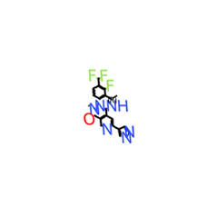 C[C@@H](Nc1nn(C)c(=O)c2cnc(-c3cnn(C)c3)cc12)c1cccc(C(F)F)c1F